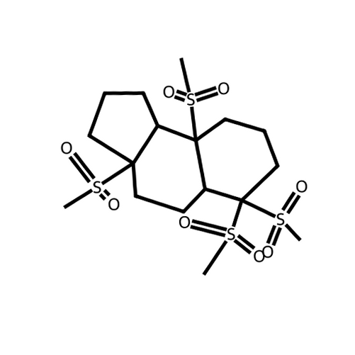 CS(=O)(=O)C12CCCC1C1(S(C)(=O)=O)CCCC(S(C)(=O)=O)(S(C)(=O)=O)C1CC2